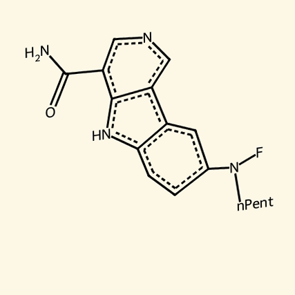 CCCCCN(F)c1ccc2[nH]c3c(C(N)=O)cncc3c2c1